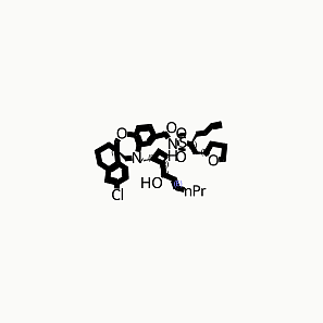 C=CCC[C@@H](C[C@H]1CCCO1)S(=O)(=O)NC(=O)c1ccc2c(c1)N(C[C@@H]1CC[C@H]1[C@@H](O)/C=C/CCC)C[C@@]1(CCCc3cc(Cl)ccc31)CO2